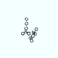 c1ccc(-c2ccc(-c3ccc(N(c4ccccc4)c4ccc(-c5c6nc(-c7ccccc7)oc6cc6c5oc5ccccc56)cc4)cc3)cc2)cc1